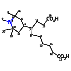 CN1C(C)(C)CC(C(CCCCCC(=O)O)CCC(=O)O)CC1(C)C